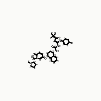 Cc1ccc(-n2nc(C(C)(C)C)cc2NC(=O)N[C@H]2CC[C@@H](Oc3ccc4nnc([C@@H]5CCCN5C)n4c3)c3ccccc32)cc1